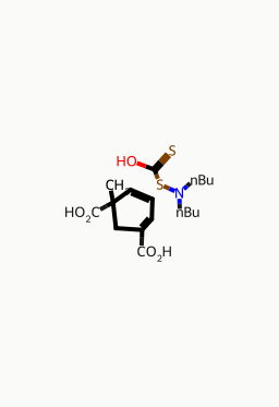 CC1(C(=O)O)C=CC=C(C(=O)O)C1.CCCCN(CCCC)SC(O)=S